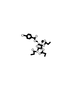 C#C[C@@]1(OC(=O)CC)[C@@H](COC(=O)c2ccc(Cl)cc2)OC(OC(=O)CC)[C@@H]1OC(=O)CC